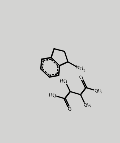 NC1CCc2ccccc21.O=C(O)C(O)C(O)C(=O)O